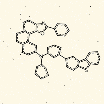 c1ccc(-c2nc3ccc4ccc5ccc(N(c6ccccc6)c6cccc(-c7ccc8sc9ccccc9c8c7)c6)cc5c4c3o2)cc1